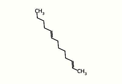 CC=CCCCCC=CCCCC